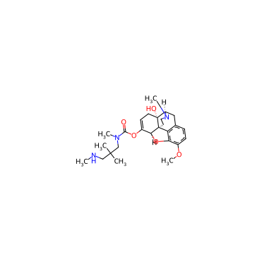 CNCC(C)(C)CN(C)C(=O)OC1=CC[C@@]2(O)[C@H]3Cc4ccc(OC)c5c4[C@@]2(CCN3C)[C@H]1O5